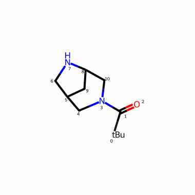 CC(C)(C)C(=O)N1CC2CNC(C2)C1